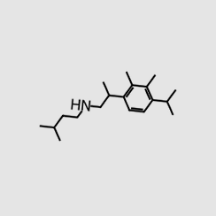 Cc1c(C(C)C)ccc(C(C)CNCCC(C)C)c1C